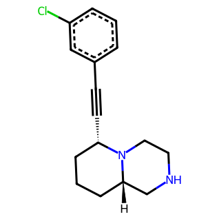 Clc1cccc(C#C[C@H]2CCC[C@H]3CNCCN32)c1